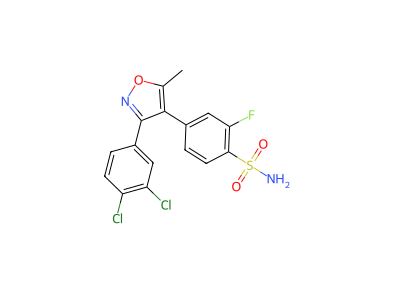 Cc1onc(-c2ccc(Cl)c(Cl)c2)c1-c1ccc(S(N)(=O)=O)c(F)c1